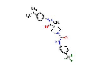 CC(C)c1ccc(NC(=O)C2(C)CCN(C(=O)Nc3ccc(C(F)(F)F)cc3)CC2)cc1